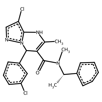 CC1=C(C(=O)N(C)[C@@H](C)c2ccccc2)C(c2cccc(Cl)c2)n2ncc(Cl)c2N1